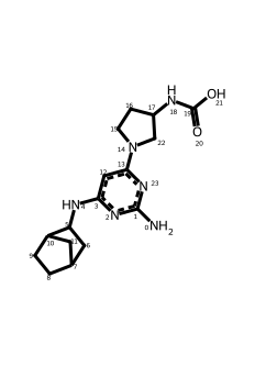 Nc1nc(NC2CC3CCC2C3)cc(N2CCC(NC(=O)O)C2)n1